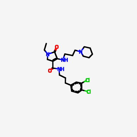 CCN1CC(C(=O)NCCCc2ccc(Cl)c(Cl)c2)=C(NCCCN2CCCCC2)C1=O